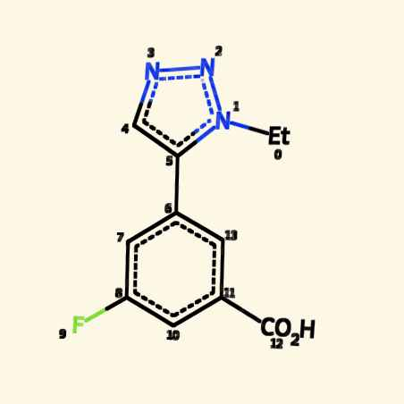 CCn1nncc1-c1cc(F)cc(C(=O)O)c1